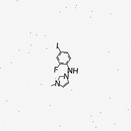 CN1C=CN(Nc2ccc(I)cc2F)C1